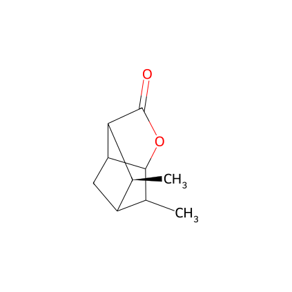 CC1C2OC(=O)C3C2CC1[C@@H]3C